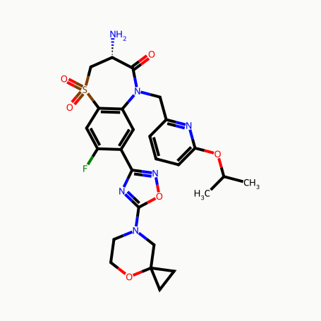 CC(C)Oc1cccc(CN2C(=O)[C@@H](N)CS(=O)(=O)c3cc(F)c(-c4noc(N5CCOC6(CC6)C5)n4)cc32)n1